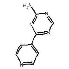 Nc1ncnc(-c2ccncc2)n1